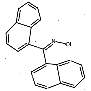 ON=C(c1cccc2ccccc12)c1cccc2ccccc12